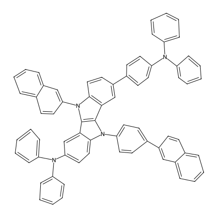 c1ccc(N(c2ccccc2)c2ccc(-c3ccc4c(c3)c3c(c5cc(N(c6ccccc6)c6ccccc6)ccc5n3-c3ccc(-c5ccc6ccccc6c5)cc3)n4-c3ccc4ccccc4c3)cc2)cc1